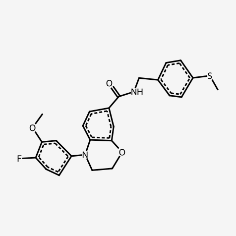 COc1cc(N2CCOc3cc(C(=O)NCc4ccc(SC)cc4)ccc32)ccc1F